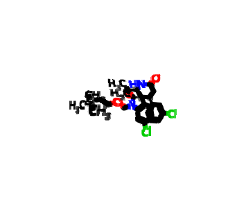 C=C(C)[C@H]1NC(=O)C[C@@H](c2cccc(Cl)c2)[C@]12C(=O)N(COCC[Si](C)(C)C)c1cc(Cl)ccc12